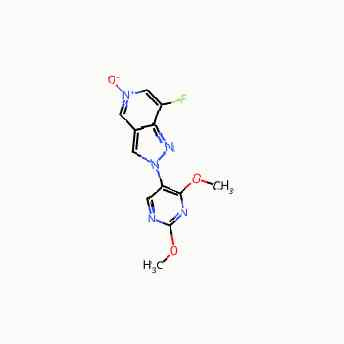 COc1ncc(-n2cc3c[n+]([O-])cc(F)c3n2)c(OC)n1